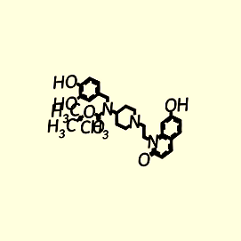 CC(C)(C)OC(=O)N(Cc1ccc(O)c(O)c1)C1CCN(CCn2c(=O)ccc3ccc(O)cc32)CC1